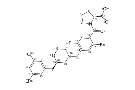 O=C(O)[C@@H]1CCCN1C(=O)c1cc(F)c(CN2CCO[C@H](Cc3cc(Cl)cc(Cl)c3)C2)cc1F